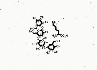 C[C@H]1O[C@H](O[C@H]2[C@H](O)[C@@H](O)[C@@H](O[C@H]3[C@H](O)[C@@H](O)[C@H](O)O[C@@H]3CO)O[C@@H]2CO)[C@H](O)[C@@H](O)[C@@H]1N[C@H]1C=C(CO)[C@@H](O)[C@H](O)[C@H]1O.NCCCCC(N)C(=O)O